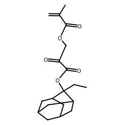 C=C(C)C(=O)OCC(=O)C(=O)OC1(CC)C2CC3CC(C2)CC1C3